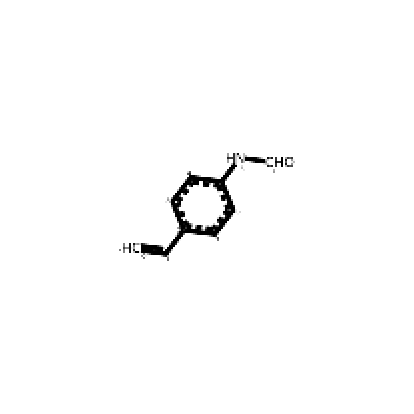 [CH]=Cc1ccc(NC=O)cc1